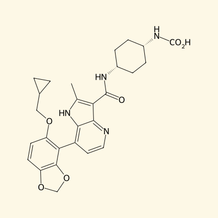 Cc1[nH]c2c(-c3c(OCC4CC4)ccc4c3OCO4)ccnc2c1C(=O)N[C@H]1CC[C@@H](NC(=O)O)CC1